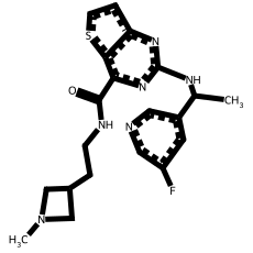 CC(Nc1nc(C(=O)NCCC2CN(C)C2)c2sccc2n1)c1cncc(F)c1